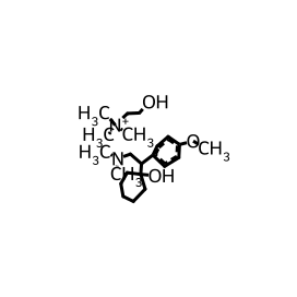 COc1ccc(C(CN(C)C)C2(O)CCCCC2)cc1.C[N+](C)(C)CCO